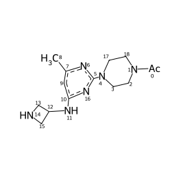 CC(=O)N1CCN(c2nc(C)cc(NC3CNC3)n2)CC1